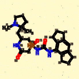 CN1CCC[C@]1(C)CC1C[SH](=O)(NC(=O)Nc2c3c(cc4c2CCC4)CCC3)CC(=O)N1